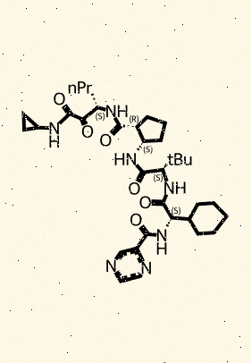 CCC[C@H](NC(=O)[C@@H]1CCC[C@@H]1NC(=O)[C@@H](NC(=O)[C@@H](NC(=O)c1cnccn1)C1CCCCC1)C(C)(C)C)C(=O)C(=O)NC1CC1